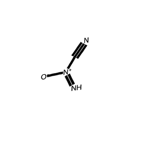 N#C[N+](=N)[O-]